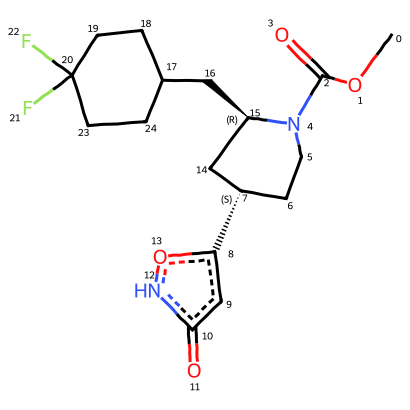 COC(=O)N1CC[C@H](c2cc(=O)[nH]o2)C[C@H]1CC1CCC(F)(F)CC1